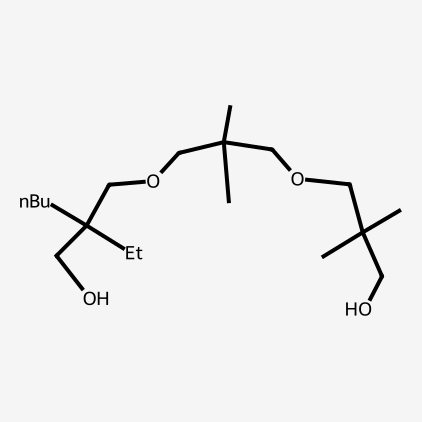 CCCCC(CC)(CO)COCC(C)(C)COCC(C)(C)CO